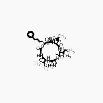 CC[C@@H](C)[C@@H]1NC(=O)[C@H](CC(C)C)N(C)C(=O)[C@H](C)[C@@H](CCCCc2ccccc2)OC(=O)CNC(=O)[C@H]([C@H](C)O)NC(=O)[C@H](CN)NC1=O